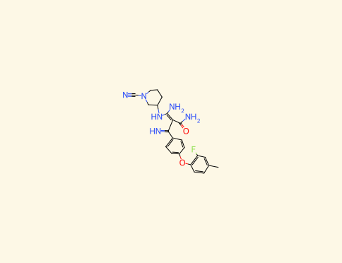 Cc1ccc(Oc2ccc(C(=N)/C(C(N)=O)=C(/N)NC3CCCN(C#N)C3)cc2)c(F)c1